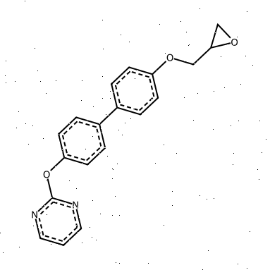 c1cnc(Oc2ccc(-c3ccc(OCC4CO4)cc3)cc2)nc1